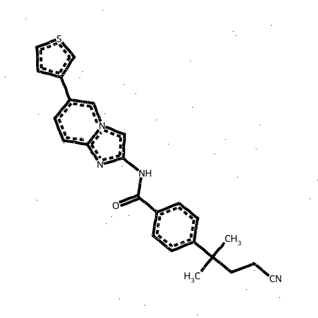 CC(C)(CCC#N)c1ccc(C(=O)Nc2cn3cc(-c4ccsc4)ccc3n2)cc1